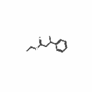 CCOC(=O)CC(C)c1ccccc1